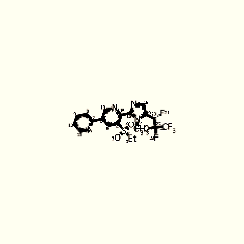 CCS(=O)(=O)c1cc(-c2ccccn2)cnc1-c1ncc([C@H](F)C(F)(C(F)(F)F)C(F)(F)F)n1C